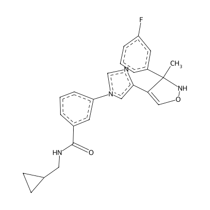 CC1(c2cccc(F)c2)NOC=C1c1cn(-c2cccc(C(=O)NCC3CC3)c2)cn1